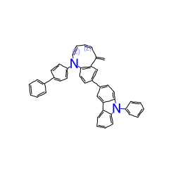 C=C1/C=C\C=C/N(c2ccc(-c3ccccc3)cc2)c2ccc(-c3ccc4c(c3)c3ccccc3n4-c3ccccc3)cc21